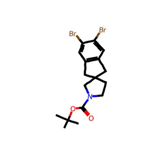 CC(C)(C)OC(=O)N1CCC2(Cc3cc(Br)c(Br)cc3C2)C1